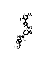 COc1cc(-c2cc(C(=O)N3CC[C@H](C(=O)NC45COC(CO)(C4)C5)CC34CC4)n[nH]2)c(F)cn1